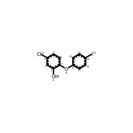 Oc1cc(Cl)ccc1Oc1ccc(I)cc1